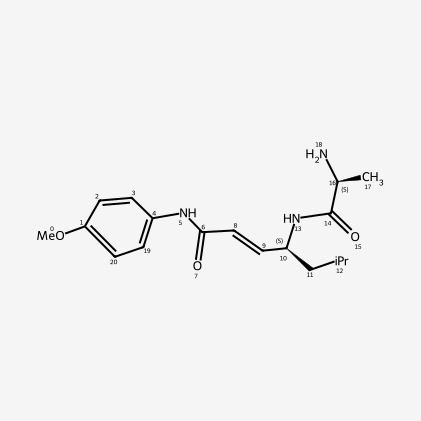 COc1ccc(NC(=O)C=C[C@H](CC(C)C)NC(=O)[C@H](C)N)cc1